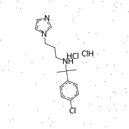 CC(C)(NCCCn1ccnc1)c1ccc(Cl)cc1.Cl.Cl